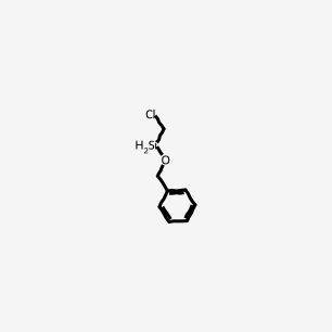 ClC[SiH2]OCc1ccccc1